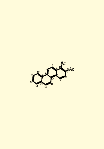 CC(=O)c1ccc2c(ccc3c4ccccc4ccc23)c1C(C)=O